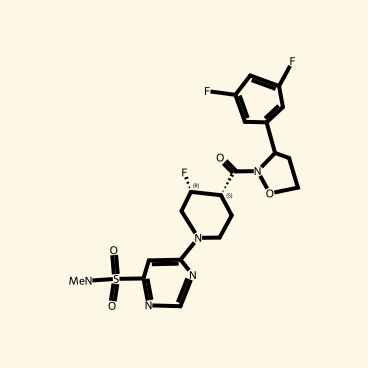 CNS(=O)(=O)c1cc(N2CC[C@@H](C(=O)N3OCCC3c3cc(F)cc(F)c3)[C@@H](F)C2)ncn1